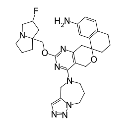 Nc1ccc2c(c1)C1(CCC2)Cc2nc(OCC34CCCN3CC(F)C4)nc(N3CCCn4nncc4C3)c2CO1